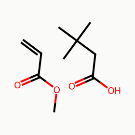 C=CC(=O)OC.CC(C)(C)CC(=O)O